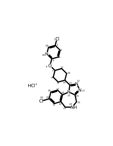 Cl.Clc1ccc(OC2CCC(c3nnc4n3-c3ccc(Cl)cc3CNC4)CC2)nc1